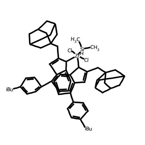 CCC(C)c1ccc(-c2cccc3c2C=C(CC24CC5CC(CC(C5)C2)C4)[CH]3[Zr]([Cl])([Cl])([CH]2C(CC34CC5CC(CC(C5)C3)C4)=Cc3c(-c4ccc(C(C)CC)cc4)cccc32)[SiH](C)C)cc1